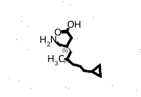 C[C@H](CCCC1CC1)C[C@H](CN)CC(=O)O